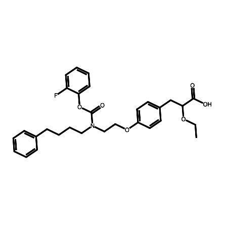 CCOC(Cc1ccc(OCCN(CCCCc2ccccc2)C(=O)Oc2ccccc2F)cc1)C(=O)O